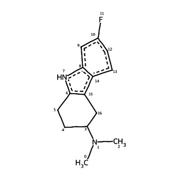 CN(C)C1CCc2[nH]c3cc(F)ccc3c2C1